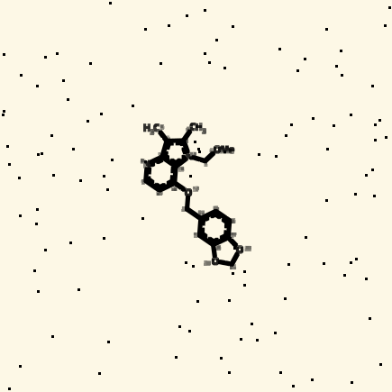 COCn1c(C)c(C)c2nccc(OCc3ccc4c(c3)OCO4)c21